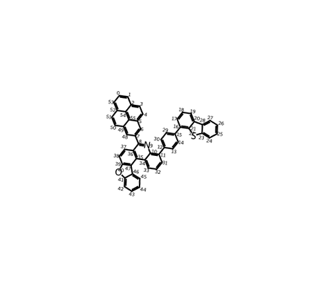 c1cc2ccc3cc(-c4nc5c(-c6ccc(-c7cccc8c7sc7ccccc78)cc6)cccc5c5c4ccc4oc6ccccc6c45)cc4ccc(c1)c2c34